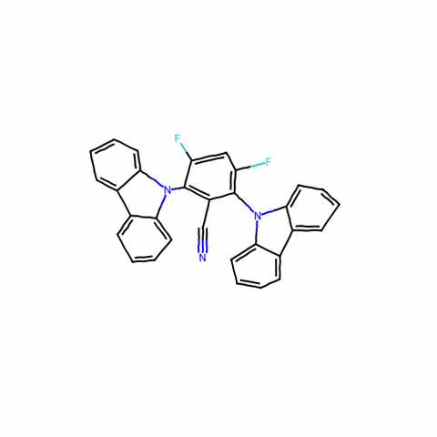 N#Cc1c(-n2c3ccccc3c3ccccc32)c(F)cc(F)c1-n1c2ccccc2c2ccccc21